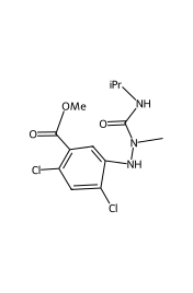 COC(=O)c1cc(NN(C)C(=O)NC(C)C)c(Cl)cc1Cl